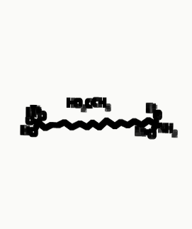 CC(=O)O.CCOC(N)(CCCCCCCCCCCCCCCCC(OCC)(OCC)OCC)OCC